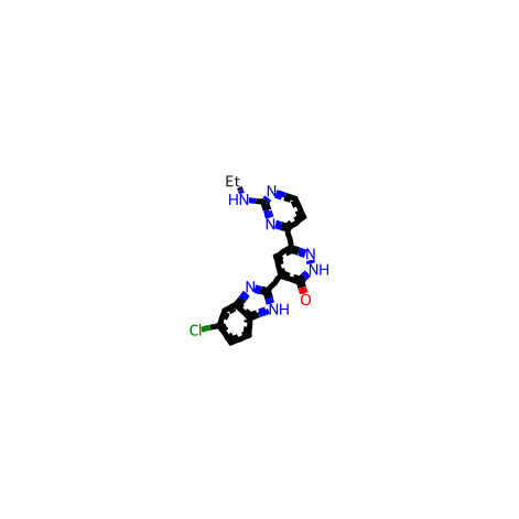 CCNc1nccc(-c2cc(-c3nc4cc(Cl)ccc4[nH]3)c(=O)[nH]n2)n1